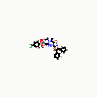 CC(C(=O)Nc1nc(-c2ccccc2)c(-c2ccccc2)s1)N1CCN(S(=O)(=O)c2ccc(Cl)cc2)CC1